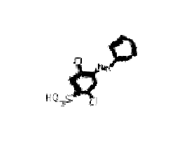 O=S(=O)(O)c1cc(Cl)c(N=Nc2ccccc2)cc1Cl